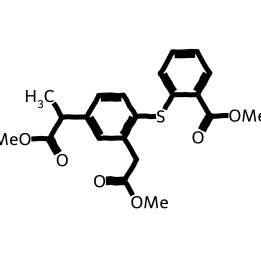 COC(=O)Cc1cc(C(C)C(=O)OC)ccc1Sc1ccccc1C(=O)OC